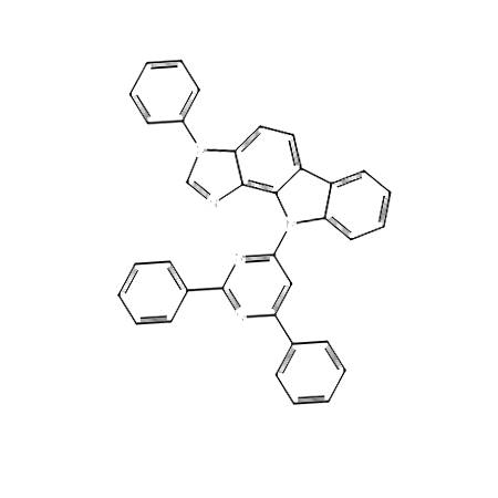 c1ccc(-c2cc(-n3c4ccccc4c4ccc5c(ncn5-c5ccccc5)c43)nc(-c3ccccc3)n2)cc1